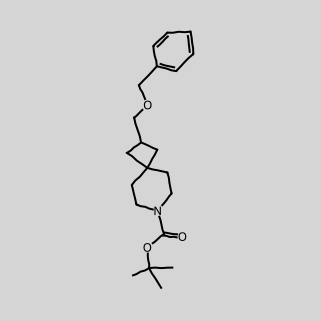 CC(C)(C)OC(=O)N1CCC2(CC1)CC(COCc1ccccc1)C2